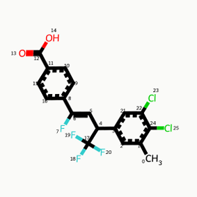 Cc1cc(C(/C=C(\F)c2ccc(C(=O)O)cc2)C(F)(F)F)cc(Cl)c1Cl